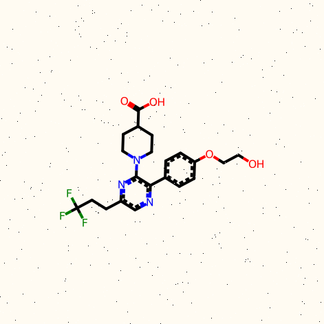 O=C(O)C1CCN(c2nc(CCC(F)(F)F)cnc2-c2ccc(OCCO)cc2)CC1